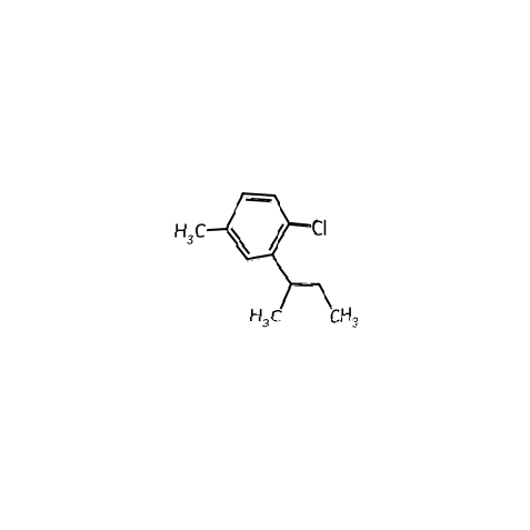 CCC(C)c1cc(C)ccc1Cl